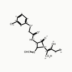 O=CSC1C(NC(=O)COc2cccc(Cl)c2)C(=O)N1C(C(=O)O)=C(O)CBr